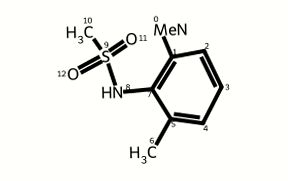 CNc1cccc(C)c1NS(C)(=O)=O